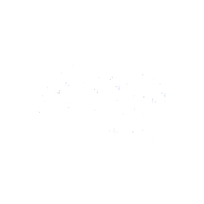 C[C@H](c1ccc(Cl)cc1Cl)n1ncc2ccc(N3CCN(C(=O)C4CCCN4C(=O)OC(C)(C)C)C(CO)C3)cc21